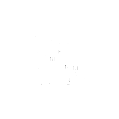 FC(F)(F)c1ccccc1Nc1ccccc1-c1n[nH]c(=S)[nH]1